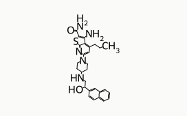 CCCc1cc(N2CCC(NCC(O)c3ccc4ccccc4c3)CC2)nc2sc(C(N)=O)c(N)c12